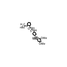 CCCCC(C)Oc1ccccc1C(=O)NC(=S)Nc1ccc(S(=O)(=O)Nc2cc(OC)nc(OC)n2)cc1